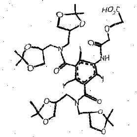 CC1(C)OCC(CN(CC2COC(C)(C)O2)C(=O)c2c(I)c(NC(=O)COCC(=O)O)c(I)c(C(=O)N(CC3COC(C)(C)O3)CC3COC(C)(C)O3)c2I)O1